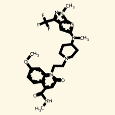 CNC(=O)c1cc(=O)n(CCN2CCC(N(C)c3cc4c(C(F)(F)F)nn(C)c4s3)CC2)c2cc(OC)ccc12